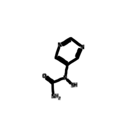 NC(=O)N(S)c1cncnc1